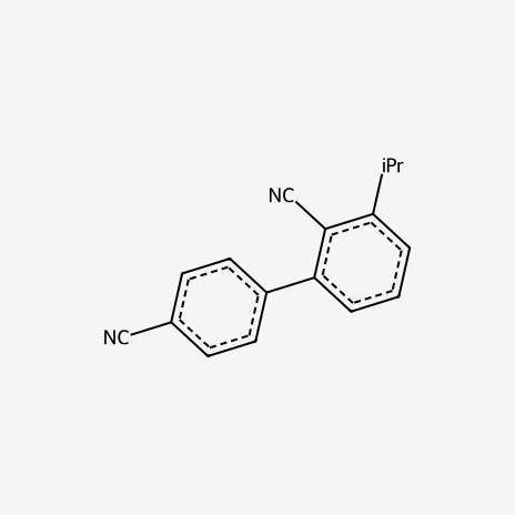 CC(C)c1cccc(-c2ccc(C#N)cc2)c1C#N